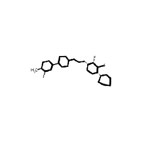 C[C@H]1CC[C@@H](C2CCC(CCC[C@H]3CC[C@@H](C4CCCCC4)C(F)[C@H]3F)CC2)C[C@H]1F